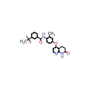 Cc1cc(Oc2ccnc3c2CCC(=O)N3)ccc1NC(=O)c1cccc(C(C)(I)I)c1